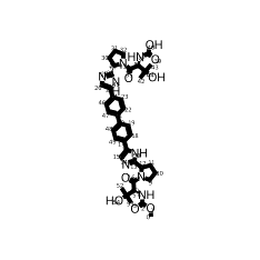 COC(=O)N[C@H](C(=O)N1CCCC1c1ncc(-c2ccc(-c3ccc(-c4cnc([C@@H]5CCCN5C(=O)[C@@H](NC(=O)O)C(C)(C)O)[nH]4)cc3)cc2)[nH]1)C(C)(C)O